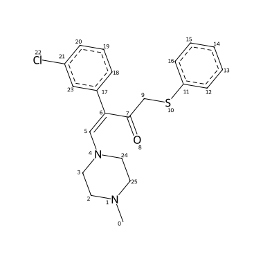 CN1CCN(C=C(C(=O)CSc2ccccc2)c2cccc(Cl)c2)CC1